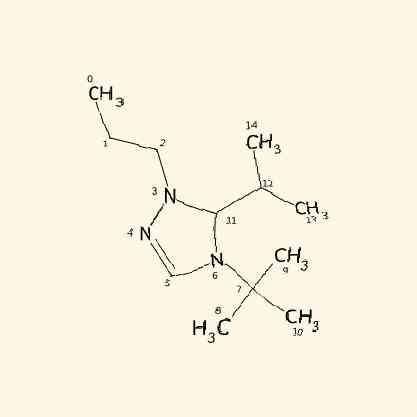 CCCN1N=CN(C(C)(C)C)C1C(C)C